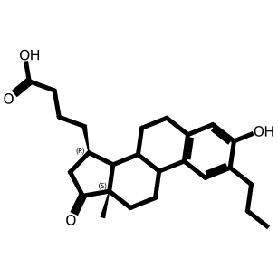 CCCc1cc2c(cc1O)CCC1C2CC[C@]2(C)C(=O)C[C@@H](CCCC(=O)O)C12